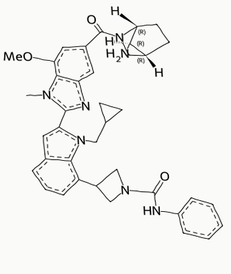 COc1cc(C(=O)N2C[C@H]3CC[C@@H]2[C@@H]3N)cc2nc(-c3cc4cccc(C5CN(C(=O)Nc6ccccc6)C5)c4n3CC3CC3)n(C)c12